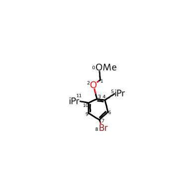 COCOc1c(C(C)C)cc(Br)cc1C(C)C